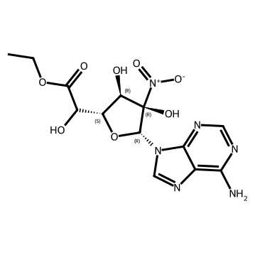 CCOC(=O)C(O)[C@H]1O[C@@H](n2cnc3c(N)ncnc32)[C@@](O)([N+](=O)[O-])[C@@H]1O